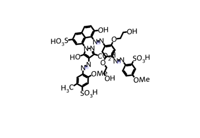 COc1ccc(/N=N/C2=CC(OCCO)=C(/N=N/c3c(O)ccc4cc(S(=O)(=O)O)cc(-n5nc(C(=O)O)c(/N=N/c6cc(C)c(S(=O)(=O)O)cc6OC)c5O)c34)CC2OCCO)c(S(=O)(=O)O)c1